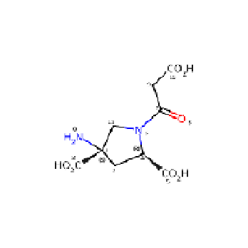 N[C@@]1(C(=O)O)C[C@H](C(=O)O)N(C(=O)CC(=O)O)C1